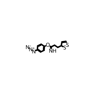 [N-]=[N+]=Nc1ccc(OC(=N)CCC2C=CSS2)cc1